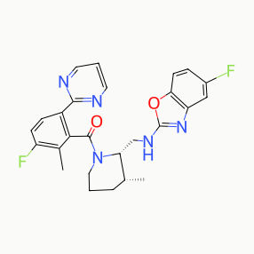 Cc1c(F)ccc(-c2ncccn2)c1C(=O)N1CCC[C@@H](C)[C@H]1CNc1nc2cc(F)ccc2o1